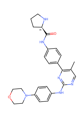 Cc1cnc(Nc2ccc(N3CCOCC3)cc2)nc1-c1ccc(NC(=O)[C@H]2CCCN2)cc1